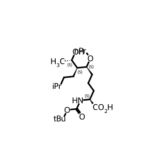 CCCO[C@@H](CCC[C@H](NC(=O)OC(C)(C)C)C(=O)O)[C@@H](CCC(C)C)[C@H](C)O